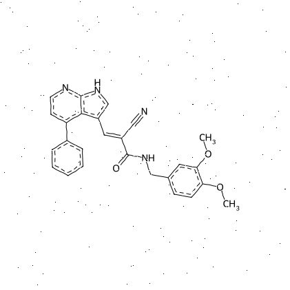 COc1ccc(CNC(=O)/C(C#N)=C/c2c[nH]c3nccc(-c4ccccc4)c23)cc1OC